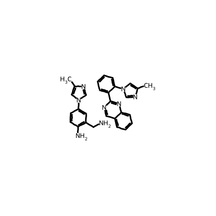 Cc1cn(-c2ccc(N)c(CN)c2)cn1.Cc1cn(-c2ccccc2-c2ncc3ccccc3n2)cn1